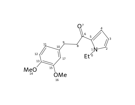 CCn1cccc1C(=O)CCc1ccc(OC)c(OC)c1